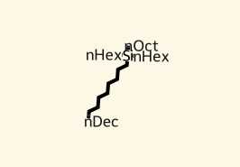 CCCCCCCCCCCCCCCCCC[Si](CCCCCC)(CCCCCC)CCCCCCCC